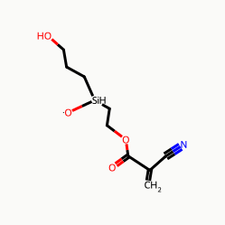 C=C(C#N)C(=O)OCC[SiH]([O])CCCO